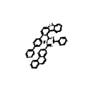 c1ccc(C2=NC(c3c(-c4ccc(-c5ccccc5)cc4)ccc4oc5ccccc5c34)NC(c3ccc4c(ccc5ccccc54)c3)=N2)cc1